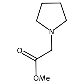 COC(=O)[CH]N1CCCC1